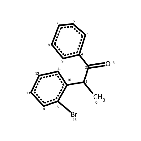 CC(C(=O)c1ccccc1)c1ccccc1Br